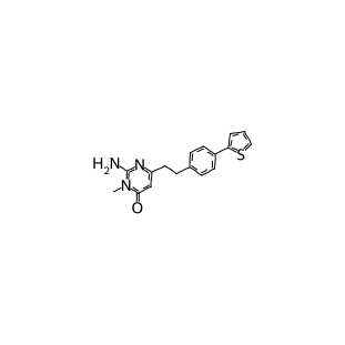 Cn1c(N)nc(CCc2ccc(-c3cccs3)cc2)cc1=O